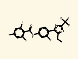 CCc1oc(C(F)(F)F)nc1-c1ccc(NC(=O)c2c(F)cc(F)cc2F)cc1F